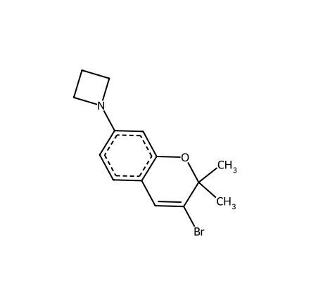 CC1(C)Oc2cc(N3CCC3)ccc2C=C1Br